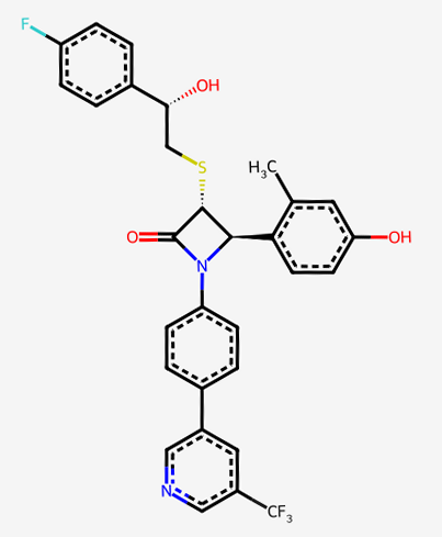 Cc1cc(O)ccc1[C@@H]1[C@@H](SC[C@@H](O)c2ccc(F)cc2)C(=O)N1c1ccc(-c2cncc(C(F)(F)F)c2)cc1